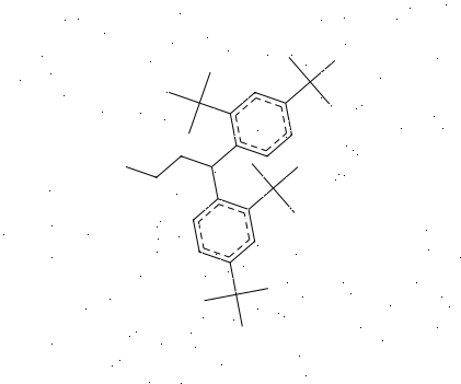 CCCC(c1ccc(C(C)(C)C)cc1C(C)(C)C)c1ccc(C(C)(C)C)cc1C(C)(C)C